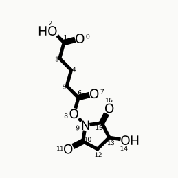 O=C(O)CCCC(=O)ON1C(=O)CC(O)C1=O